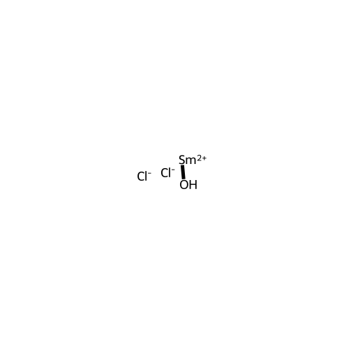 [Cl-].[Cl-].[OH][Sm+2]